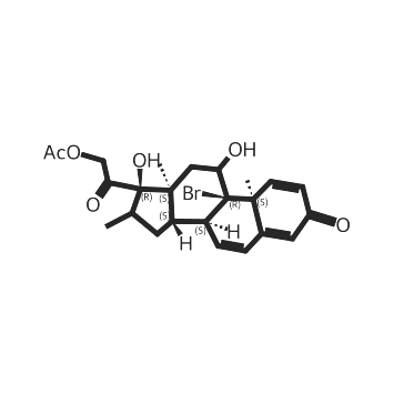 CC(=O)OCC(=O)[C@@]1(O)C(C)C[C@H]2[C@@H]3C=CC4=CC(=O)C=C[C@]4(C)[C@@]3(Br)C(O)C[C@@]21C